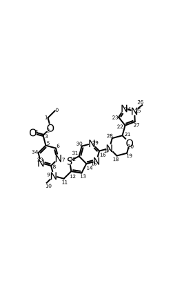 CCOC(=O)c1cnc(N(C)Cc2cc3nc(N4CCOC(c5cnn(C)c5)C4)ncc3s2)nc1